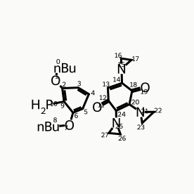 CCCCOc1cccc(OCCCC)c1P.O=C1C=C(N2CC2)C(=O)C(N2CC2)=C1N1CC1